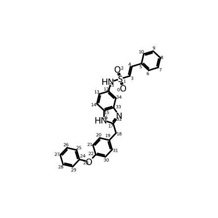 O=S(=O)(/C=C/c1ccccc1)Nc1ccc2[nH]c(Cc3ccc(Oc4ccccc4)cc3)nc2c1